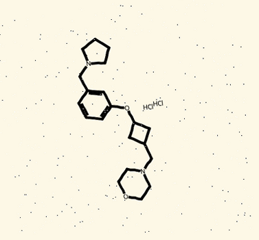 Cl.Cl.c1cc(CN2CCCC2)cc(OC2CC(CN3CCOCC3)C2)c1